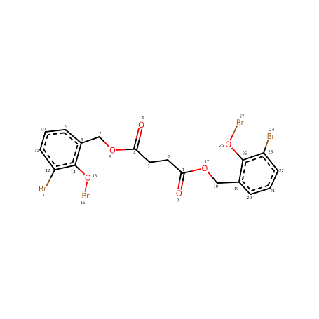 O=C(CCC(=O)OCc1cccc(Br)c1OBr)OCc1cccc(Br)c1OBr